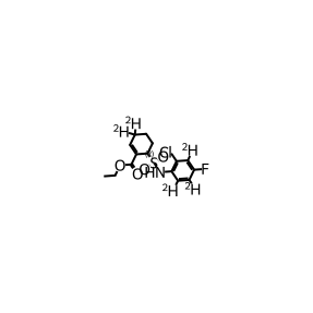 [2H]c1c([2H])c(NS(=O)(=O)[C@@H]2CCC([2H])([2H])C=C2C(=O)OCC)c(Cl)c([2H])c1F